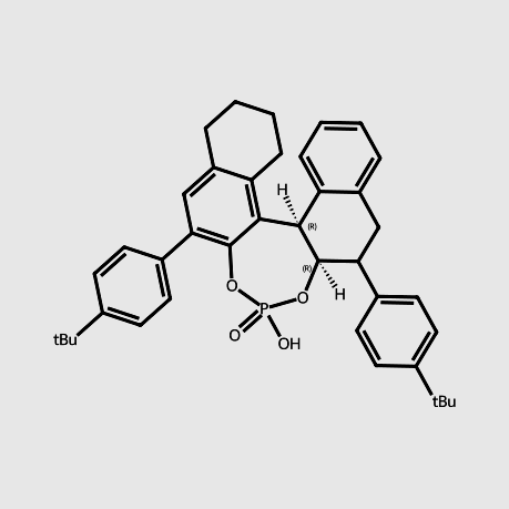 CC(C)(C)c1ccc(-c2cc3c(c4c2OP(=O)(O)O[C@@H]2C(c5ccc(C(C)(C)C)cc5)Cc5ccccc5[C@H]42)CCCC3)cc1